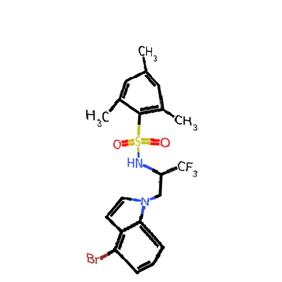 Cc1cc(C)c(S(=O)(=O)NC(Cn2ccc3c(Br)cccc32)C(F)(F)F)c(C)c1